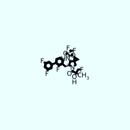 C[C@](O)(CF)C(=O)N1CC2(CC2)[C@H](NS(=O)(=O)C(F)F)[C@@H]1Cc1cccc(-c2cc(F)cc(F)c2)c1F